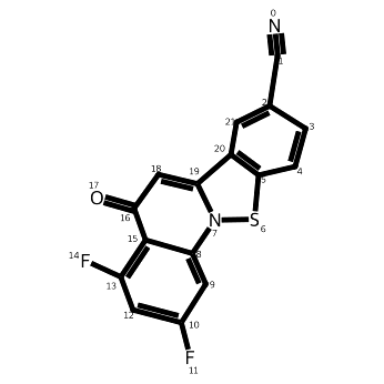 N#Cc1ccc2sn3c4cc(F)cc(F)c4c(=O)cc3c2c1